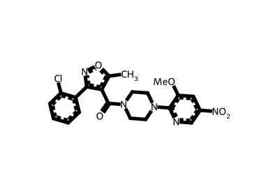 COc1cc([N+](=O)[O-])cnc1N1CCN(C(=O)c2c(-c3ccccc3Cl)noc2C)CC1